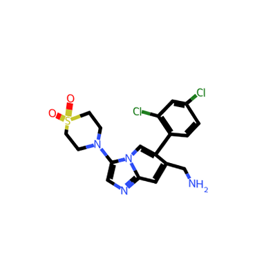 NCc1cc2ncc(N3CCS(=O)(=O)CC3)n2cc1-c1ccc(Cl)cc1Cl